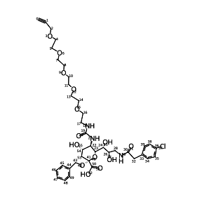 C#CCOCCOCCOCCOCCOCCNC(=O)N[C@H]1[C@H]([C@H](O)[C@H](O)CNC(=O)Cc2ccc(Cl)cc2)O[C@@](OCc2ccccc2)(C(=O)O)C[C@@H]1O